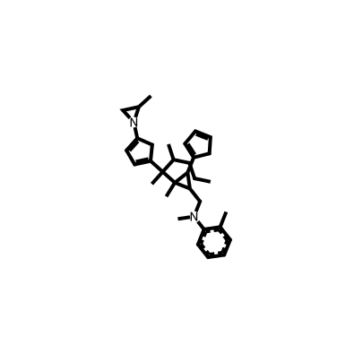 CCCC(C)C(C)(C1=CC=C(N2CC2C)C1)C1(C)C(CN(C)c2ccccc2C)C1C1=CC=CC1